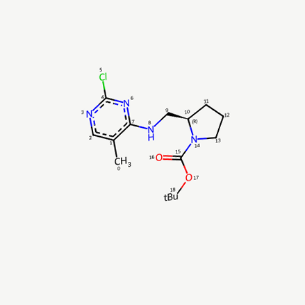 Cc1cnc(Cl)nc1NC[C@H]1CCCN1C(=O)OC(C)(C)C